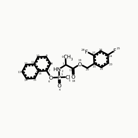 CC(NP(=O)(Cl)Oc1cccc2ccccc12)C(=O)OCc1ccc(F)cc1F